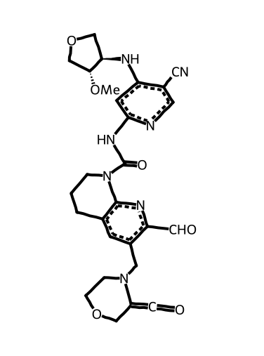 CO[C@@H]1COC[C@H]1Nc1cc(NC(=O)N2CCCc3cc(CN4CCOCC4=C=O)c(C=O)nc32)ncc1C#N